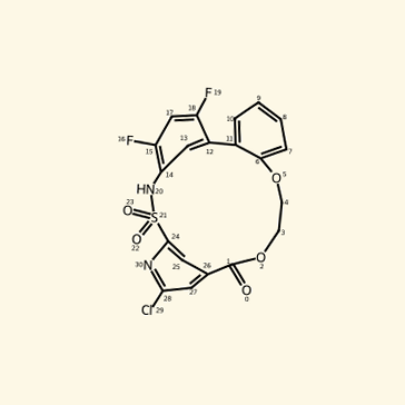 O=C1OCCOc2ccccc2-c2cc(c(F)cc2F)NS(=O)(=O)c2cc1cc(Cl)n2